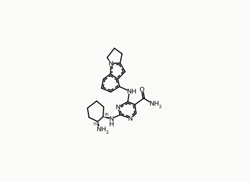 NC(=O)c1cnc(N[C@@H]2CCCC[C@@H]2N)nc1Nc1cccc2c1cc1n2CCC1